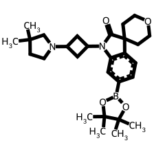 CC1(C)CCN(C2CC(N3C(=O)C4(CCOCC4)c4ccc(B5OC(C)(C)C(C)(C)O5)cc43)C2)C1